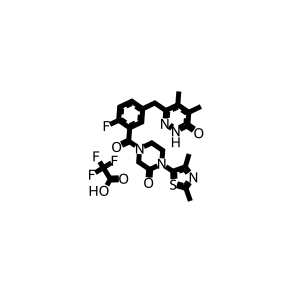 Cc1nc(C)c(N2CCN(C(=O)c3cc(Cc4n[nH]c(=O)c(C)c4C)ccc3F)CC2=O)s1.O=C(O)C(F)(F)F